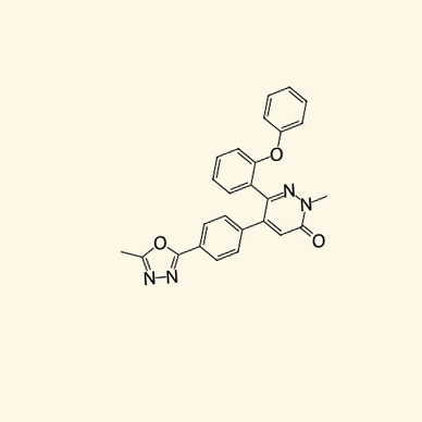 Cc1nnc(-c2ccc(-c3cc(=O)n(C)nc3-c3ccccc3Oc3ccccc3)cc2)o1